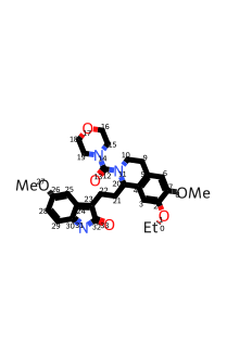 CCOc1cc2c(cc1OC)CCN(C(=O)N1CCOCC1)C2CCC1=c2cc(OC)ccc2=NC1=O